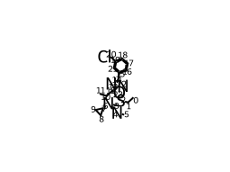 CCS/C(=N\C)N(C1CC1)C(C)c1nc(-c2cccc(Cl)c2)no1